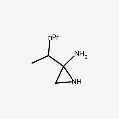 CCCC(C)C1(N)CN1